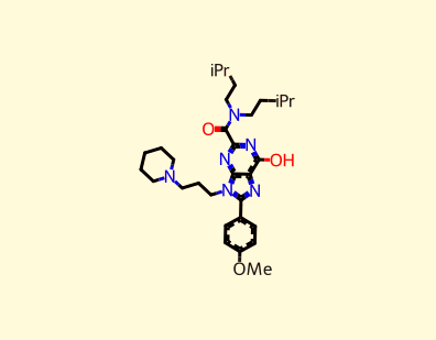 COc1ccc(-c2nc3c(O)nc(C(=O)N(CCC(C)C)CCC(C)C)nc3n2CCCN2CCCCC2)cc1